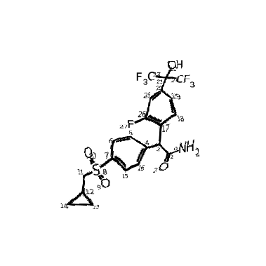 NC(=O)C(c1ccc(S(=O)(=O)CC2CC2)cc1)c1ccc(C(O)(C(F)(F)F)C(F)(F)F)cc1F